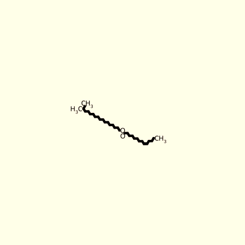 CCCC/C=C\CCCCCCCC(=O)OCCCCCCCCCCCCCCCC(C)CC